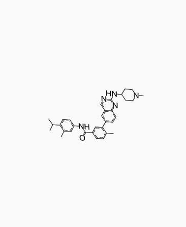 Cc1ccc(C(=O)Nc2ccc(C(C)C)c(C)c2)cc1-c1ccc2nc(NC3CCN(C)CC3)ncc2c1